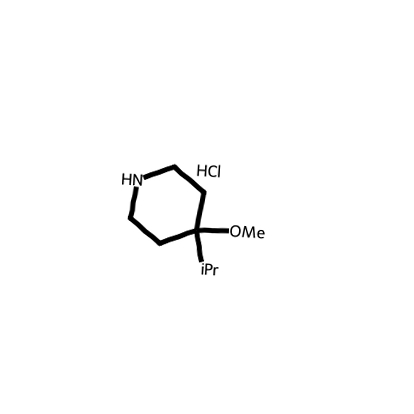 COC1(C(C)C)CCNCC1.Cl